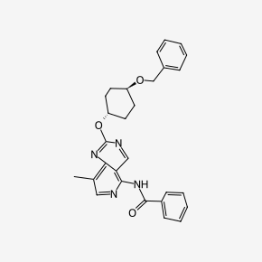 Cc1cnc(NC(=O)c2ccccc2)c2cnc(O[C@H]3CC[C@H](OCc4ccccc4)CC3)nc12